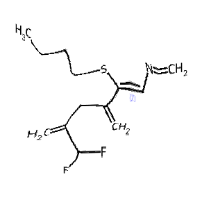 C=N/C=C(\SCCCC)C(=C)CC(=C)C(F)F